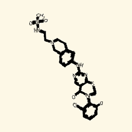 CS(=O)(=O)NCCN1CCc2cc(Nc3ncc4c(n3)SCN(c3c(Cl)cccc3Cl)C4=O)ccc2C1